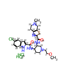 COCCN1CCC(NC(=O)c2cc3cc(Cl)ccc3[nH]2)C(NC(=O)c2nc3c(s2)CN(C)CC3)C1.Cl.Cl